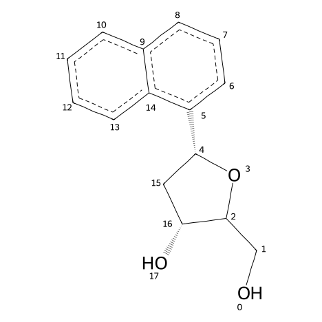 OCC1O[C@@H](c2cccc3ccccc23)C[C@H]1O